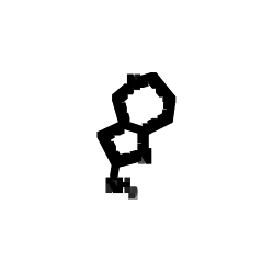 Nc1cc2cncccc-2n1